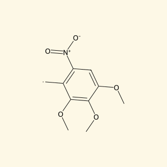 [CH2]c1c([N+](=O)[O-])cc(OC)c(OC)c1OC